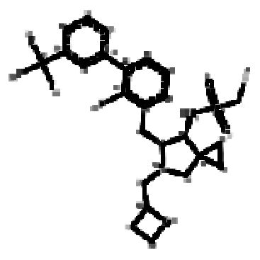 O=S(=O)(CF)N[C@@H]1[C@H](Cc2cccc(-c3cccc(C(F)(F)F)c3)c2F)N(CC2CCO2)CC12CC2